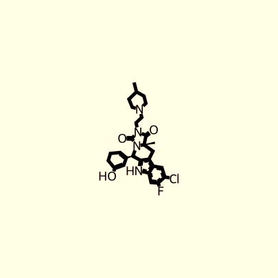 CC1CCN(CCN2C(=O)N3[C@H](C4=CCCC(O)=C4)c4[nH]c5cc(F)c(Cl)cc5c4C[C@@]3(C)C2=O)CC1